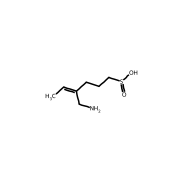 C/C=C(\CN)CCCS(=O)O